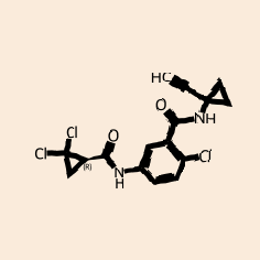 C#CC1(NC(=O)c2cc(NC(=O)[C@H]3CC3(Cl)Cl)ccc2Cl)CC1